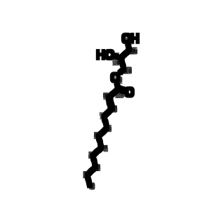 CCCCCCCCC=CC(=O)OCC(O)CO